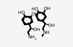 CNC[C@H](O)c1ccc(O)c(O)c1.NC[C@H](O)c1ccc(O)c(O)c1